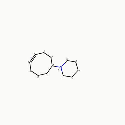 C1=C\CCC(N2CCCCC2)CCC/1